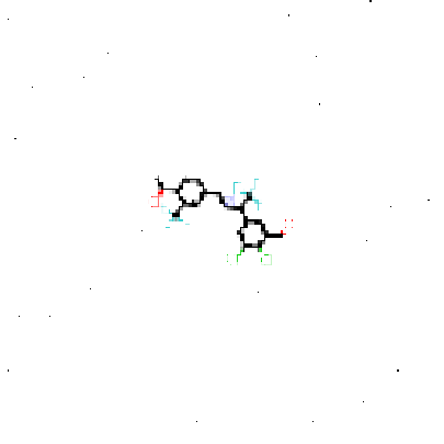 CC(=O)c1ccc(/C=C/C(c2cc(Cl)c(Cl)c(C=O)c2)C(F)(F)F)cc1C(F)(F)F